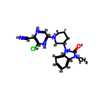 Cn1c(=O)n(C2CCCN(c3cnc(C#N)c(Cl)n3)C2)c2ccccc21